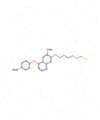 CNc1ccc(Oc2ccnc3cc(OCCCCCCS)c(OC)cc23)cc1